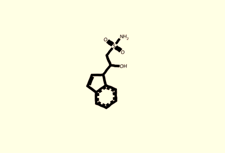 NS(=O)(=O)CC(O)C1C=Cc2ccccc21